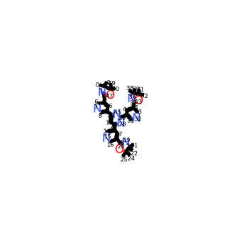 CC1(C)N=C(c2cncc(-c3cc(-c4cncc(C5=NC(C)(C)C(C)(C)O5)c4)nc(-c4cncc(C5=NC(C)(C)C(C)(C)O5)c4)n3)c2)OC1(C)C